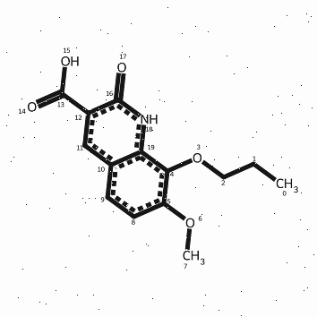 CCCOc1c(OC)ccc2cc(C(=O)O)c(=O)[nH]c12